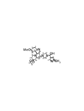 COc1ccc2ncc(C(=O)N3CCN(C(O)c4cnn(C)c4)CC3)c(N3CCC4(CC3)OCCO4)c2c1